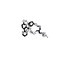 CCC(/C=N\COC1CC2CC1N([C@@](C)(O)c1nc(C)ccc1-c1ncccn1)C2)=C/NC